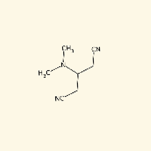 CN(C)C(CC#N)CC#N